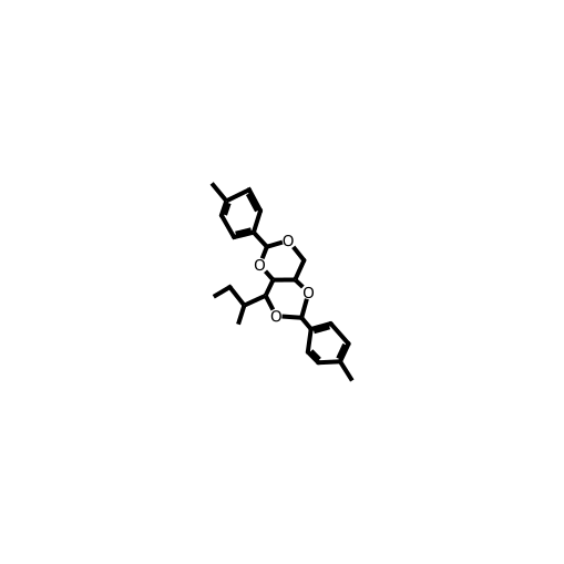 CCC(C)C1OC(c2ccc(C)cc2)OC2COC(c3ccc(C)cc3)OC21